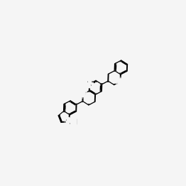 c1ccc2c(c1)CC(c1cnc3c(c1)CCC(c1ccc4cc[nH]c4c1)O3)CO2